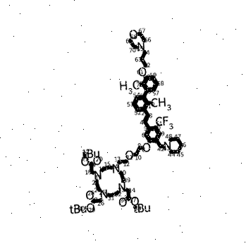 Cc1c(/C=C/c2cc(OCCOCCN3CCN(CC(=O)OC(C)(C)C)CCN(CC(=O)OC(C)(C)C)CCN(CC(=O)OC(C)(C)C)CC3)c(CN3CCCCC3)cc2C(F)(F)F)cccc1-c1cccc(OCCCN2CCOCC2)c1C